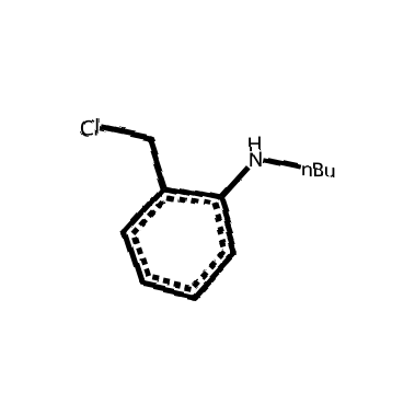 CCCCNc1ccccc1CCl